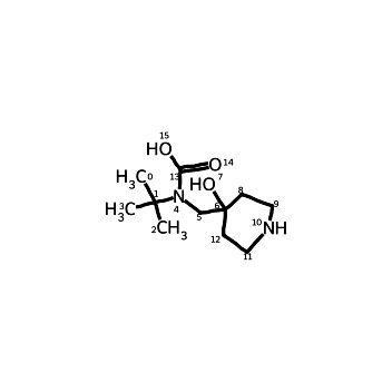 CC(C)(C)N(CC1(O)CCNCC1)C(=O)O